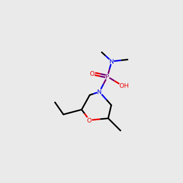 CCC1CN(P(=O)(O)N(C)C)CC(C)O1